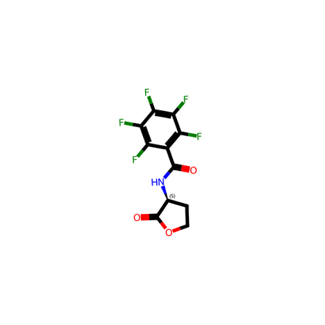 O=C(N[C@H]1CCOC1=O)c1c(F)c(F)c(F)c(F)c1F